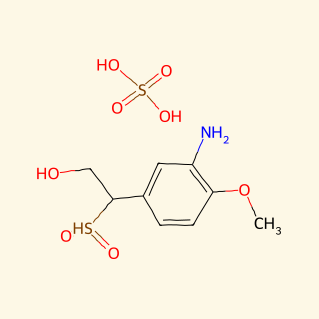 COc1ccc(C(CO)[SH](=O)=O)cc1N.O=S(=O)(O)O